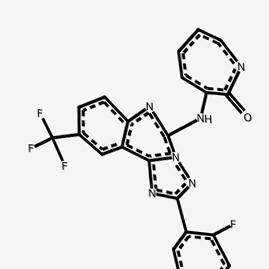 O=c1nccccc1Nc1nc2ccc(C(F)(F)F)cc2c2nc(-c3ccccc3F)nn12